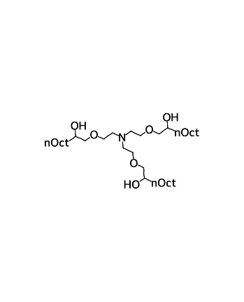 CCCCCCCCC(O)COCCN(CCOCC(O)CCCCCCCC)CCOCC(O)CCCCCCCC